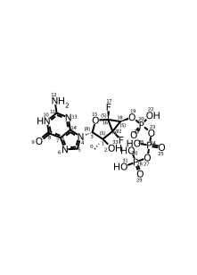 C[C@]1(O)[C@H](n2cnc3c(=O)[nH]c(N)nc32)O[C@]2(F)[C@@H](OP(=O)(O)OP(=O)(O)OP(=O)(O)O)[C@]12F